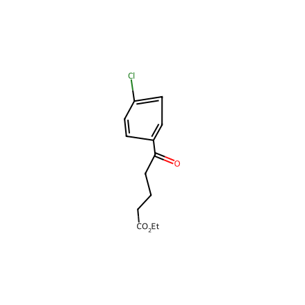 CCOC(=O)CCCC(=O)c1ccc(Cl)cc1